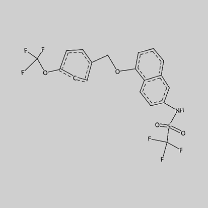 O=S(=O)(Nc1ccc2c(OCc3ccc(OC(F)(F)F)cc3)cccc2c1)C(F)(F)F